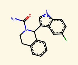 NC(=O)N1CCc2ccccc2C1c1c[nH]c2ccc(F)cc12